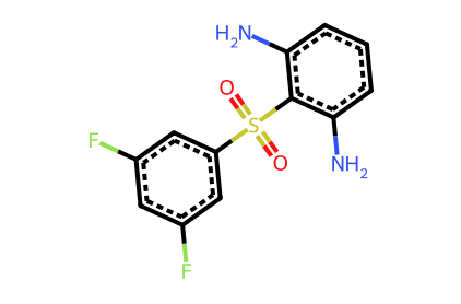 Nc1cccc(N)c1S(=O)(=O)c1cc(F)cc(F)c1